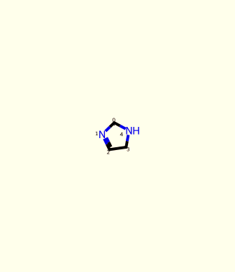 [CH]1N=CCN1